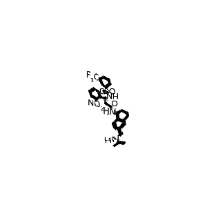 C=C(C)NCc1ccc2c(c1)CCC[C@H]2NC(=O)C[C@H](NS(=O)(=O)c1cccc(C(F)(F)F)c1)c1ccccc1[N+](=O)[O-]